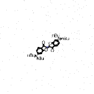 CCCCN(CCCC)c1ccc2c(c1)O/C(=C1/Oc3cc(N(CCCC)CCCC)ccc3C1=O)C2=O